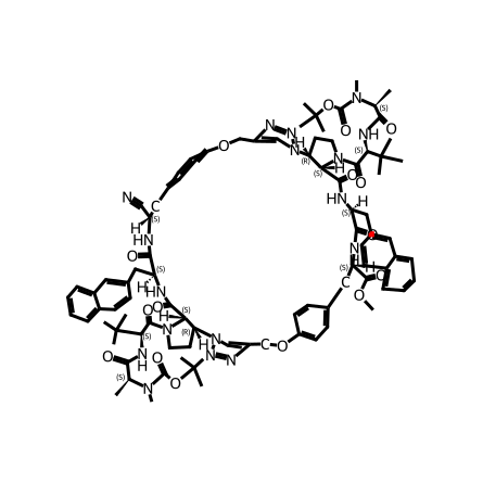 COC(=O)[C@@H]1Cc2ccc(cc2)OCc2cn(nn2)[C@@H]2CCN(C(=O)[C@@H](NC(=O)[C@H](C)N(C)C(=O)OC(C)(C)C)C(C)(C)C)[C@@H]2C(=O)N[C@@H](Cc2ccc3ccccc3c2)C(=O)N[C@H](C#N)Cc2ccc(cc2)OCc2cn(nn2)[C@@H]2CCN(C(=O)[C@@H](NC(=O)[C@H](C)N(C)C(=O)OC(C)(C)C)C(C)(C)C)[C@@H]2C(=O)N[C@@H](Cc2ccc3ccccc3c2)C(=O)N1